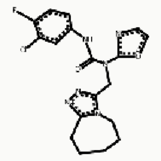 O=C(Nc1ccc(F)c(Cl)c1)N(Cc1nnc2n1CCCCC2)c1ncco1